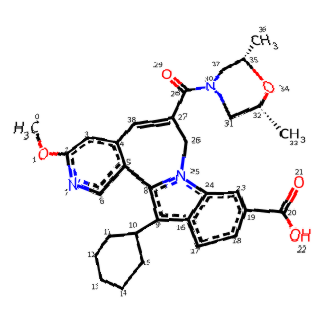 COc1cc2c(cn1)-c1c(C3CCCCC3)c3ccc(C(=O)O)cc3n1CC(C(=O)N1C[C@@H](C)O[C@@H](C)C1)=C2